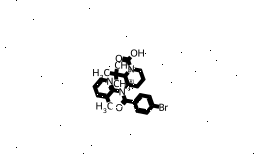 Cc1cccnc1N(C(=O)c1ccc(Br)cc1)[C@@H]1CCCN(C(=O)O)C1C(C)(C)C